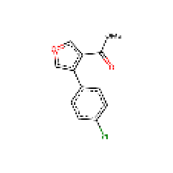 COC(=O)c1cocc1-c1ccc(Cl)cc1